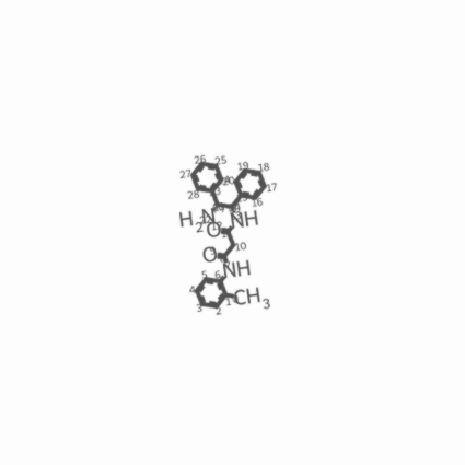 Cc1ccccc1NC(=O)CC(=O)N[C@H](c1ccccc1)[C@H](N)c1ccccc1